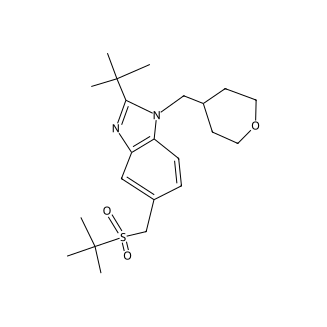 CC(C)(C)c1nc2cc(CS(=O)(=O)C(C)(C)C)ccc2n1CC1CCOCC1